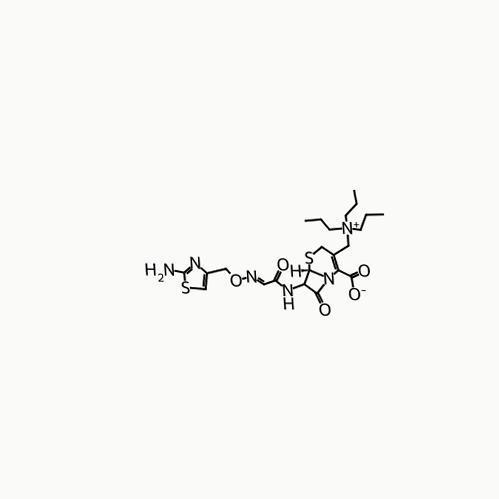 CCC[N+](CCC)(CCC)CC1=C(C(=O)[O-])N2C(=O)C(NC(=O)C=NOCc3csc(N)n3)[C@@H]2SC1